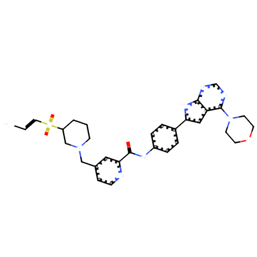 C/C=C/S(=O)(=O)C1CCCN(Cc2ccnc(C(=O)Nc3ccc(-c4cc5c(N6CCOCC6)ncnc5[nH]4)cc3)c2)C1